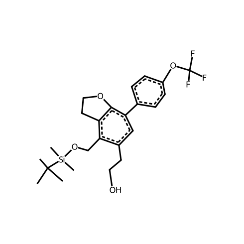 CC(C)(C)[Si](C)(C)OCc1c(CCO)cc(-c2ccc(OC(F)(F)F)cc2)c2c1CCO2